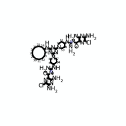 N/C(=N\C(=O)c1nc(Cl)c(N)nc1N)NC1CCN(c2nc(NC3CCCCCCCCCCC3)nc(N3CCC(N/C(N)=N/C(=O)c4nc(Cl)c(N)nc4N)CC3)n2)CC1